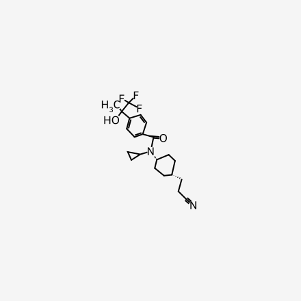 C[C@](O)(c1ccc(C(=O)N(C2CC2)[C@H]2CC[C@@H](CCC#N)CC2)cc1)C(F)(F)F